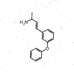 CC(N)C=Cc1cccc(Oc2ccccc2)c1